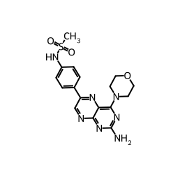 CS(=O)(=O)Nc1ccc(-c2cnc3nc(N)nc(N4CCOCC4)c3n2)cc1